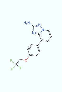 Nc1nc2c(-c3ccc(OCC(F)(F)F)cc3)cccn2n1